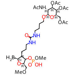 B[C@@H]1O[C@H](COC)C(OP(=O)(O)OC)[C@@H]1CCCNC(=O)NCCCCO[C@@H]1O[C@H](COC(C)=O)[C@H](OC(C)=O)[C@H](OC(C)=O)[C@H]1NC(C)=O